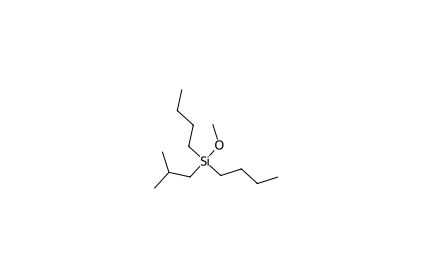 CCCC[Si](CCCC)(CC(C)C)OC